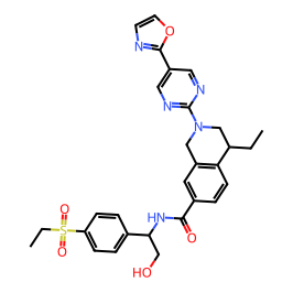 CCC1CN(c2ncc(-c3ncco3)cn2)Cc2cc(C(=O)NC(CO)c3ccc(S(=O)(=O)CC)cc3)ccc21